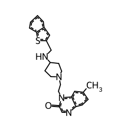 Cc1ccc2ncc(=O)n(CCN3CCC(NCc4cc5ccccc5s4)CC3)c2c1